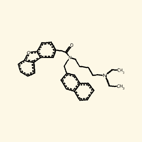 CCN(CC)CCCCN(Cc1ccc2ccccc2c1)C(=O)c1ccc2oc3ccccc3c2c1